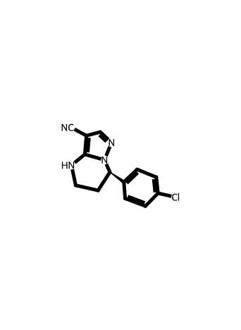 N#Cc1cnn2c1NCC[C@@H]2c1ccc(Cl)cc1